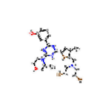 Cc1cc(-c2nc(-c3cccc(O)c3)nc(N3CCOC[C@H]3C)n2)sc1CN(CCS)CCS